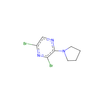 Brc1cnc(N2CCCC2)c(Br)n1